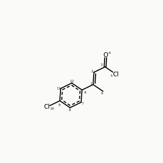 CC(=CC(=O)Cl)c1ccc(Cl)cc1